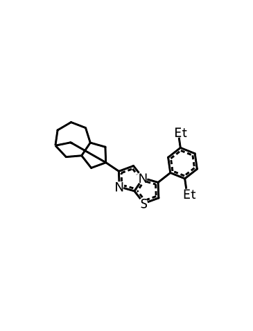 CCc1ccc(CC)c(-c2csc3nc(C45CC6CCCC(C4)C(C6)C5)cn23)c1